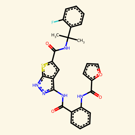 CC(C)(NC(=O)c1cc2c(NC(=O)c3ccccc3NC(=O)c3ccco3)n[nH]c2s1)c1ccccc1F